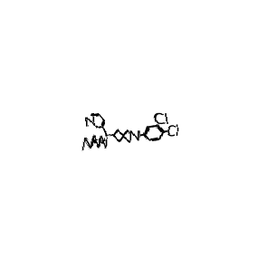 [N-]=[N+]=N[C@@H](c1cccnc1)C1CC2(C1)CN(c1ccc(Cl)c(Cl)c1)C2